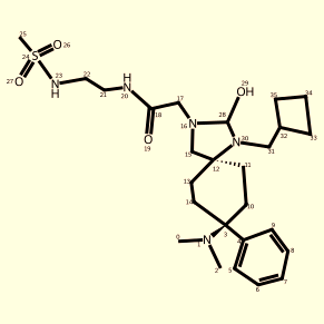 CN(C)[C@]1(c2ccccc2)CC[C@]2(CC1)CN(CC(=O)NCCNS(C)(=O)=O)C(O)N2CC1CCC1